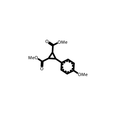 COC(=O)C1C(C(=O)OC)C1c1ccc(OC)cc1